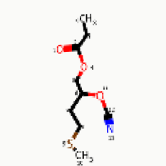 CCC(=O)OCC(CCSC)OC#N